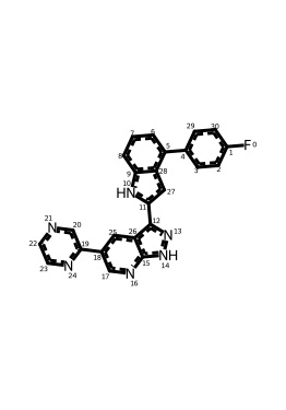 Fc1ccc(-c2cccc3[nH]c(-c4n[nH]c5ncc(-c6cnccn6)cc45)cc23)cc1